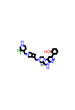 Oc1ccccc1-c1cc2c(nn1)NC[C@H]1CN(CC3CC4CN(CC5CCNCC5(F)F)CC43)CCN21